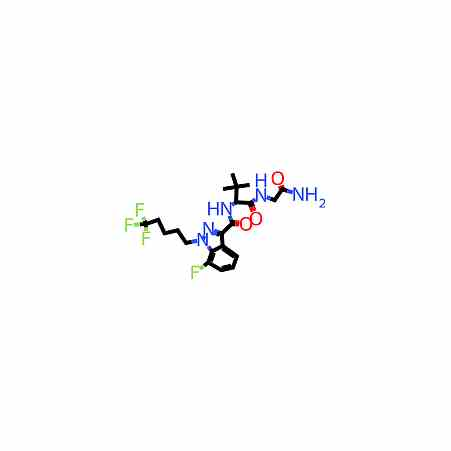 CC(C)(C)C(NC(=O)c1nn(CCCCC(F)(F)F)c2c(F)cccc12)C(=O)NCC(N)=O